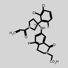 C=CC(=O)N1CC[C@](Nc2cc(F)c3c(c2)C(=O)N(CC(=O)O)CC3)(c2c(F)ccc(Cl)c2Cl)C1